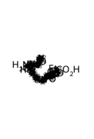 CCC(C(=O)O)N1C(=O)CCC(N2C(=O)c3ccc(N4CCC(CN5CCC(c6ccc(Nc7nc(N8CCC[C@@H](N9CCN(C)C9=O)C8)nnc7C(N)=O)cc6)CC5)C4)cc3C2=O)C1=O